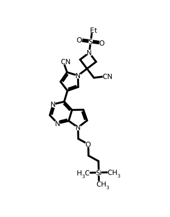 CCS(=O)(=O)N1CC(CC#N)(n2cc(-c3ncnc4c3ccn4COCC[Si](C)(C)C)cc2C#N)C1